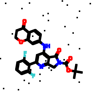 CC(C)(C)OC(=O)N1Cc2nc(-c3c(F)cccc3F)cc(Nc3ccc4c(c3)OCCC4=O)c2C1=O